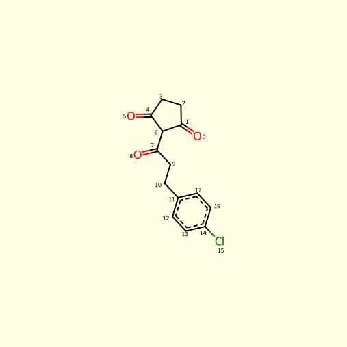 O=C1CCC(=O)C1C(=O)CCc1ccc(Cl)cc1